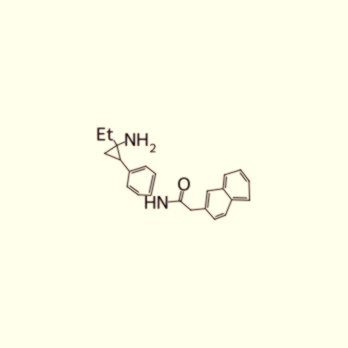 CCC1(N)CC1c1ccc(NC(=O)Cc2ccc3ccccc3c2)cc1